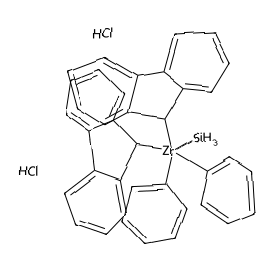 Cl.Cl.[SiH3][Zr]([c]1ccccc1)([c]1ccccc1)([CH]1c2ccccc2-c2ccccc21)[CH]1c2ccccc2-c2ccccc21